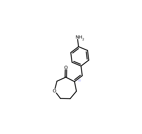 Nc1ccc(/C=C2/CCCOCC2=O)cc1